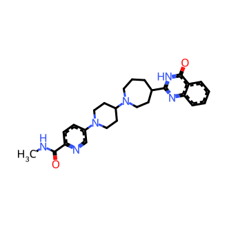 CNC(=O)c1ccc(N2CCC(N3CCCC(c4nc5ccccc5c(=O)[nH]4)CC3)CC2)cn1